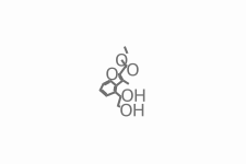 CCOC(=O)c1oc2cccc(C(O)CO)c2c1C